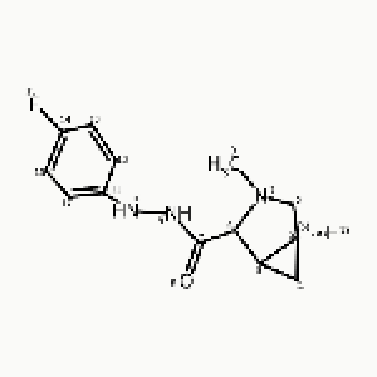 CN1C[C@H]2CC2C1C(=O)NNc1ccc(F)cc1